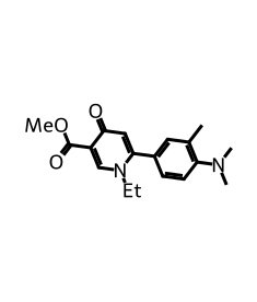 CCn1cc(C(=O)OC)c(=O)cc1-c1ccc(N(C)C)c(C)c1